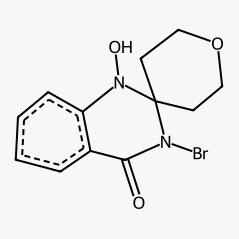 O=C1c2ccccc2N(O)C2(CCOCC2)N1Br